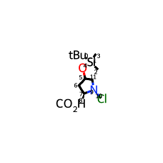 CC(C)(C)[Si](C)(C)OC1C[C@H](C(=O)O)N(Cl)C1